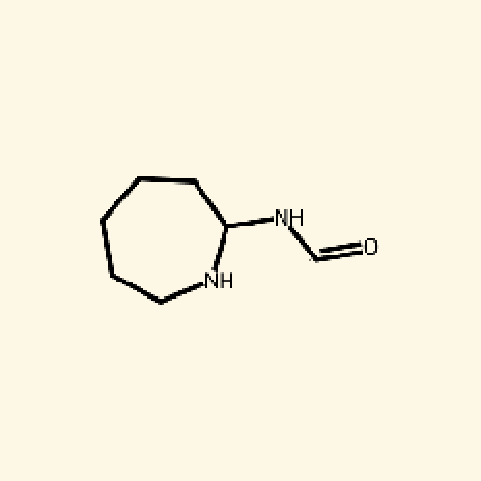 O=[C]NC1CCCCCN1